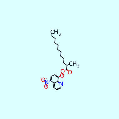 CCCCCCCCCCC(C)C(=O)OOc1ccc([N+](=O)[O-])c2cccnc12